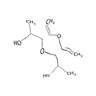 C=COC=C.CC(O)COCC(C)O